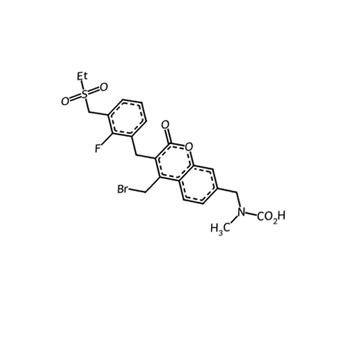 CCS(=O)(=O)Cc1cccc(Cc2c(CBr)c3ccc(CN(C)C(=O)O)cc3oc2=O)c1F